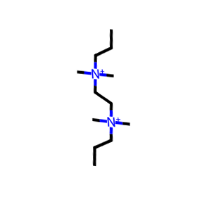 CCC[N+](C)(C)CC[N+](C)(C)CCC